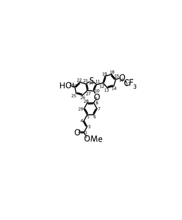 COC(=O)C=Cc1ccc(Oc2c(-c3ccc(OC(F)(F)F)cc3)sc3cc(O)ccc23)cc1